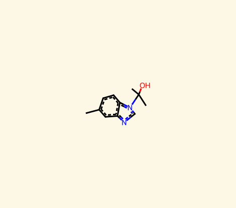 Cc1ccc2c(c1)ncn2C(C)(C)O